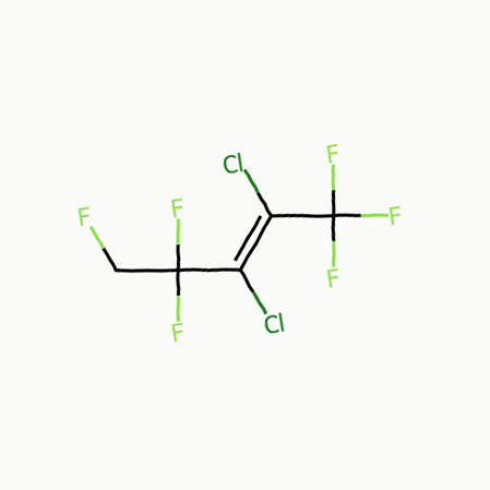 FCC(F)(F)C(Cl)=C(Cl)C(F)(F)F